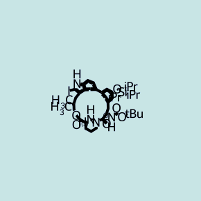 CC(C)[Si](Oc1cc2cc(c1)-c1ccc3[nH]c(I)c(c3c1)CC(C)(C)COC(=O)[C@@H]1CCCN(N1)C(=O)[C@@H](NC(=O)OC(C)(C)C)C2)(C(C)C)C(C)C